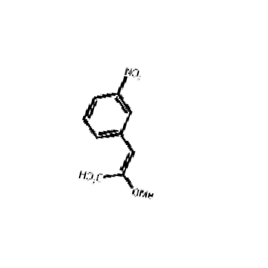 COC(=Cc1cccc([N+](=O)[O-])c1)C(=O)O